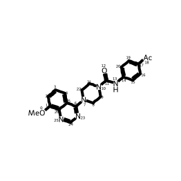 COc1cccc2c(N3CCN(C(=O)Nc4ccc(C(C)=O)cc4)CC3)ncnc12